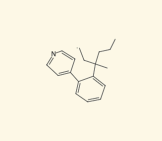 [CH2]CC(C)(CCC)c1ccccc1-c1ccncc1